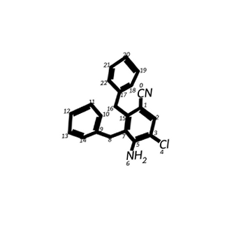 N#Cc1cc(Cl)c(N)c(Cc2ccccc2)c1Cc1ccccc1